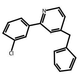 Clc1cccc(-c2[c]c(Cc3ccccc3)ccn2)c1